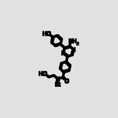 CCN(CCO)C(=O)c1ccc(-c2cnc(N)c(-c3ccc(O)cc3)n2)cc1